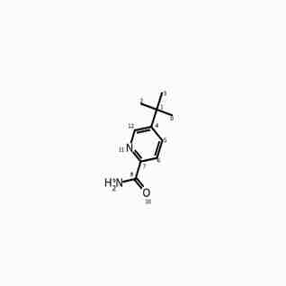 CC(C)(C)c1ccc(C(N)=O)nc1